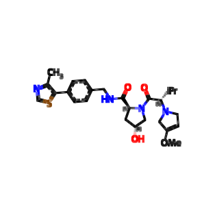 COC1=CCN([C@H](C(=O)N2C[C@H](O)C[C@H]2C(=O)NCc2ccc(-c3scnc3C)cc2)C(C)C)C1